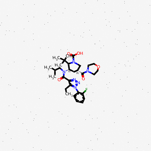 CCc1c(C(=O)N(CC(C)C)[C@H]2C[C@@H](C(=O)N3CCOCC3)CN(C(=O)O)C2C(C)(C)C)nnn1-c1ccccc1F